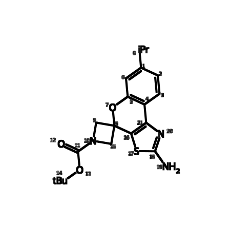 CC(C)c1ccc2c(c1)OC1(CN(C(=O)OC(C)(C)C)C1)c1sc(N)nc1-2